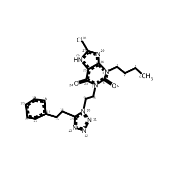 CCCCn1c(=O)n(CCn2nnnc2CCc2ccccc2)c(=O)c2[nH]c(Cl)nc21